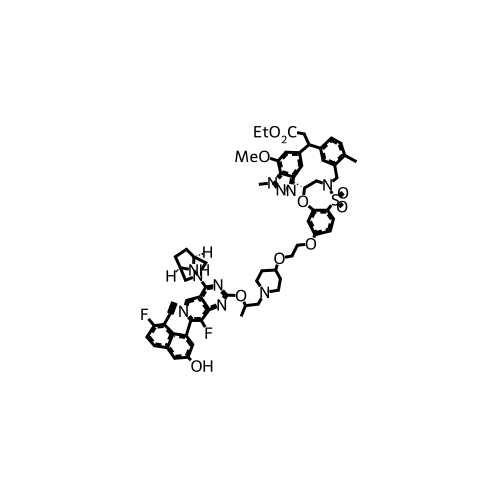 C#Cc1c(F)ccc2cc(O)cc(-c3ncc4c(N5C[C@H]6CC[C@@H](C5)N6)nc(OC(C)CN5CCC(OCCOc6ccc7c(c6)O[C@H](C)CN(Cc6cc(C(CC(=O)OCC)c8cc(OC)c9c(c8)nnn9C)ccc6C)S7(=O)=O)CC5)nc4c3F)c12